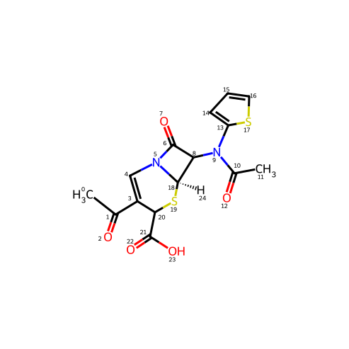 CC(=O)C1=CN2C(=O)C(N(C(C)=O)c3cccs3)[C@H]2SC1C(=O)O